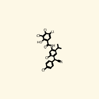 CC(C)c1cc(C(C#N)c2ccc(Cl)cc2)c(Cl)cc1NC(=O)c1cc(Cl)c(Cl)c(Cl)c1O